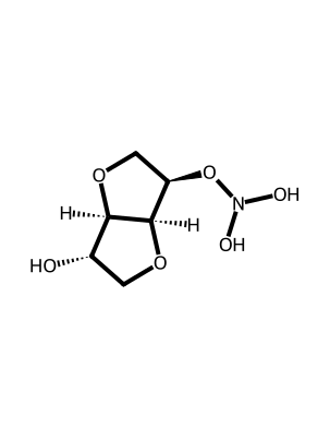 O[C@H]1CO[C@H]2[C@@H]1OC[C@H]2ON(O)O